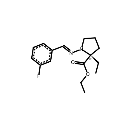 CCOC(=O)[C@@]1(CC)CCCN1N=Cc1cccc(F)c1